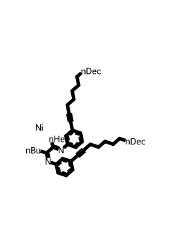 CCCCCCCCCCCCCCCC#Cc1cccc(N=C(CCCC)C(CCCCCC)=Nc2cccc(C#CCCCCCCCCCCCCCCC)c2)c1.[Ni]